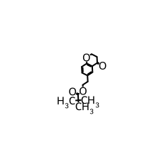 CC(C)(C)C(=O)OCCc1ccc2c(c1)C(=O)CCO2